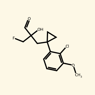 COc1cccc(C2(CC(O)(C=O)CF)CC2)c1Cl